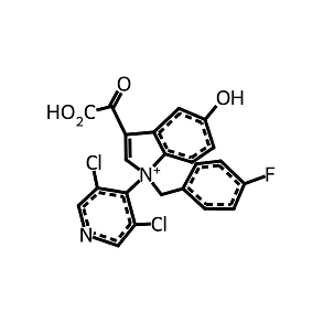 O=C(O)C(=O)C1=C[N+](Cc2ccc(F)cc2)(c2c(Cl)cncc2Cl)c2ccc(O)cc21